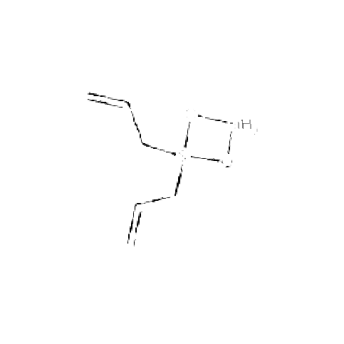 C=CC[Si]1(CC=C)O[SiH2]O1